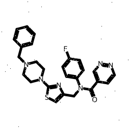 O=C(c1ccnnc1)N(Cc1csc(N2CCN(Cc3ccccc3)CC2)n1)c1ccc(F)cc1